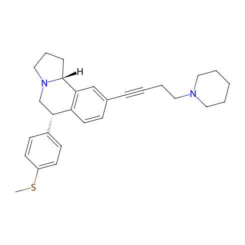 CSc1ccc([C@@H]2CN3CCC[C@@H]3c3cc(C#CCCN4CCCCC4)ccc32)cc1